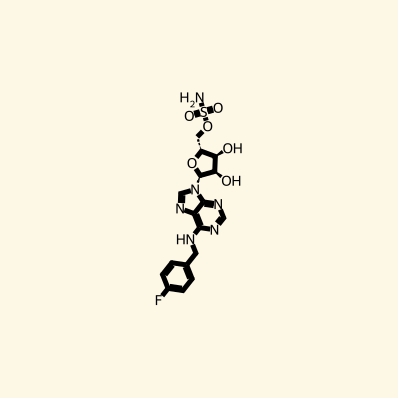 NS(=O)(=O)OC[C@H]1O[C@@H](n2cnc3c(NCc4ccc(F)cc4)ncnc32)[C@H](O)[C@@H]1O